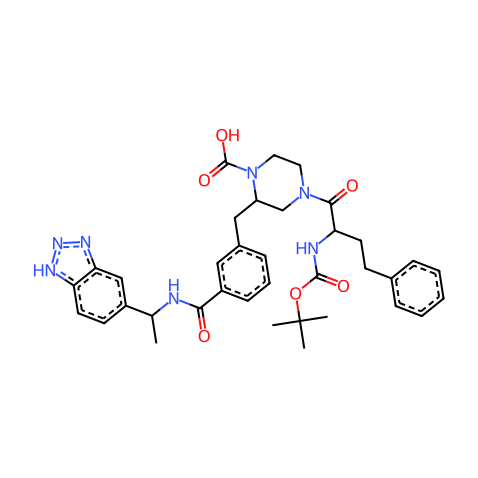 CC(NC(=O)c1cccc(CC2CN(C(=O)C(CCc3ccccc3)NC(=O)OC(C)(C)C)CCN2C(=O)O)c1)c1ccc2[nH]nnc2c1